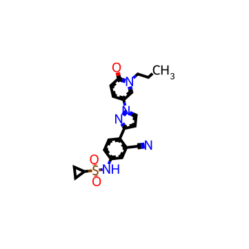 CCCn1cc(-n2ccc(-c3ccc(NS(=O)(=O)C4CC4)cc3C#N)n2)ccc1=O